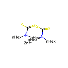 CCCCCCN(CCCCCC)C(=S)[S-].CCCCCCN(CCCCCC)C(=S)[S-].[Zn+2]